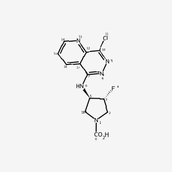 O=C(O)N1C[C@@H](F)[C@H](Nc2nnc(Cl)c3ncccc23)C1